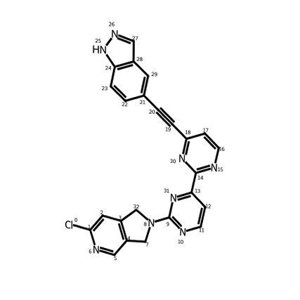 Clc1cc2c(cn1)CN(c1nccc(-c3nccc(C#Cc4ccc5[nH]ncc5c4)n3)n1)C2